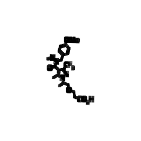 C=NN(Cc1ccc(OC)cc1)C(=O)c1c(C(F)(F)F)nn(C(C)COCCC(=O)O)c1C